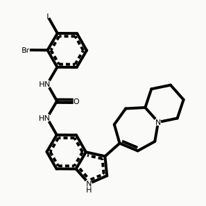 O=C(Nc1ccc2[nH]cc(C3=CCN4CCCCC4CC3)c2c1)Nc1cccc(I)c1Br